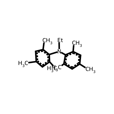 CCN(c1c(C)cc(C)cc1C)c1c(C)cc(C)cc1C